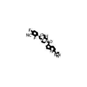 N#Cc1c(F)ccc([C@H]2CN3CCN(C(=O)C4CCc5nc(-n6cnnn6)ccc54)C[C@H]3CO2)c1F